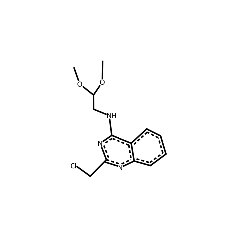 COC(CNc1nc(CCl)nc2ccccc12)OC